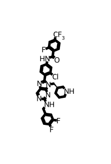 O=C(Nc1ccc(-c2nc3cnc(NCc4ccc(F)c(F)c4)nc3n2C[C@@H]2CCCNC2)c(Cl)c1)c1ccc(C(F)(F)F)cc1F